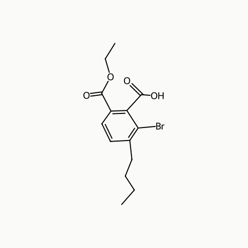 CCCCc1ccc(C(=O)OCC)c(C(=O)O)c1Br